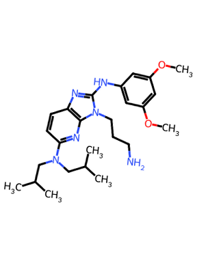 COc1cc(Nc2nc3ccc(N(CC(C)C)CC(C)C)nc3n2CCCN)cc(OC)c1